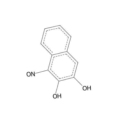 O=Nc1c(O)c(O)cc2ccccc12